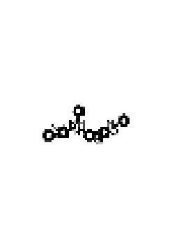 c1ccc(-c2nc(-c3ccc4c(c3)sc3ccccc34)nc(-c3ccc4oc5cc6oc(-c7ccccc7)nc6cc5c4c3)n2)cc1